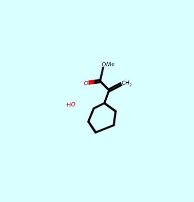 C=C(C(=O)OC)C1CCCCC1.[OH]